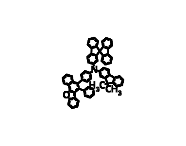 CC1(C)c2ccccc2-c2ccc(N(c3ccc(-c4c(-c5ccccc5)c5c6ccccc6oc5c5ccccc45)cc3)c3ccc4c(c3)C3(c5ccccc5-c5ccccc53)c3ccccc3-4)cc21